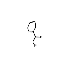 FCC(F)C1CC[CH]CC1